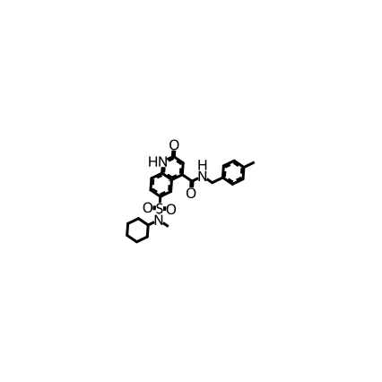 Cc1ccc(CNC(=O)c2cc(=O)[nH]c3ccc(S(=O)(=O)N(C)C4CCCCC4)cc23)cc1